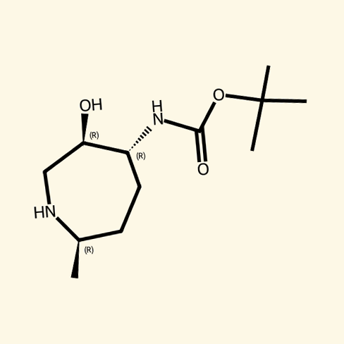 C[C@@H]1CC[C@@H](NC(=O)OC(C)(C)C)[C@H](O)CN1